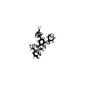 Cc1ccc(C(C)Nc2ncnc3c(OC4CCOCC4)cc(-c4ncc(C)s4)cc23)nn1